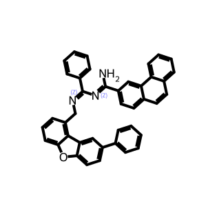 N/C(=N\C(=N/Cc1cccc2oc3ccc(-c4ccccc4)cc3c12)c1ccccc1)c1ccc2ccc3ccccc3c2c1